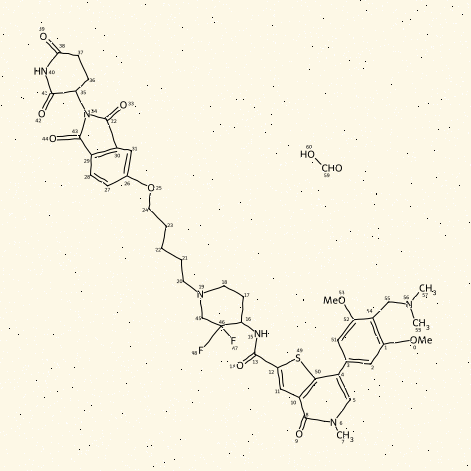 COc1cc(-c2cn(C)c(=O)c3cc(C(=O)NC4CCN(CCCCCOc5ccc6c(c5)C(=O)N(C5CCC(=O)NC5=O)C6=O)CC4(F)F)sc23)cc(OC)c1CN(C)C.O=CO